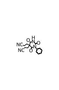 N#CCCC1(CCC#N)C(=O)NC(=O)N(c2ccccc2)C1=O